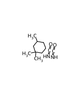 CC1CCCC(C)(C)C1.N=C=O.N=C=O